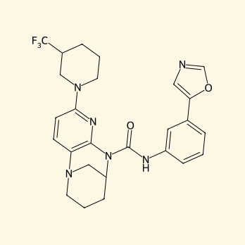 O=C(Nc1cccc(-c2cnco2)c1)N1c2nc(N3CCCC(C(F)(F)F)C3)ccc2N2CCCC1C2